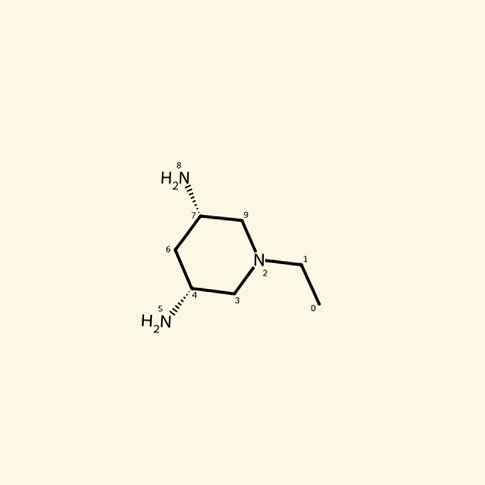 CCN1C[C@H](N)C[C@H](N)C1